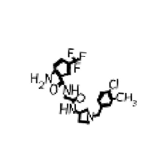 Cc1cc(CN2CCC(NC(=O)CNC(=O)c3cc(C(F)(F)F)ccc3N)C2)ccc1Cl